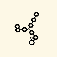 C1=CCc2c(oc3c(-c4ccc(N(c5ccc(-c6ccc(-c7ccccc7)cc6)cc5)c5ccc(-c6cccc7ccccc67)cc5)cc4)cccc23)C=C1